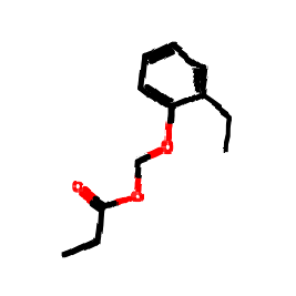 CCC(=O)OCOc1ccccc1CC